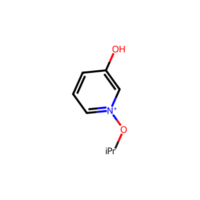 CC(C)O[n+]1cccc(O)c1